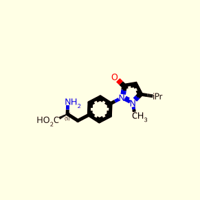 CC(C)c1cc(=O)n(-c2ccc(C[C@H](N)C(=O)O)cc2)n1C